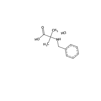 CC(C)(NCc1ccccc1)C(=O)O.Cl